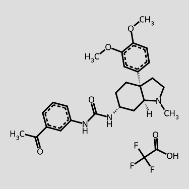 COc1ccc([C@@]23CC[C@@H](NC(=O)Nc4cccc(C(C)=O)c4)C[C@@H]2N(C)CC3)cc1OC.O=C(O)C(F)(F)F